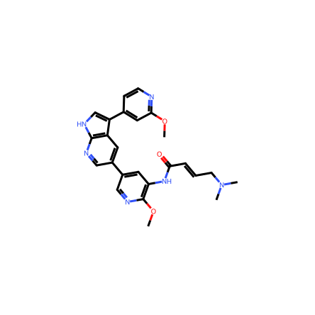 COc1cc(-c2c[nH]c3ncc(-c4cnc(OC)c(NC(=O)/C=C/CN(C)C)c4)cc23)ccn1